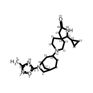 Cc1noc(N2CC3CCC(N4CCC5(CC4)CC(=O)NC5C4CC4)CC2C3)n1